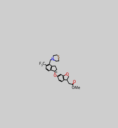 COC(=O)CC1COc2cc(O[C@@H]3CCc4c3ccc(C(F)(F)F)c4CN3CCSCC3)ccc21